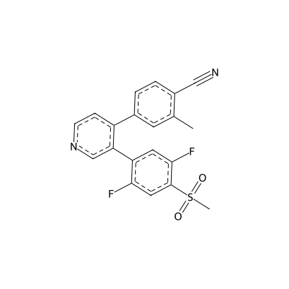 Cc1cc(-c2ccncc2-c2cc(F)c(S(C)(=O)=O)cc2F)ccc1C#N